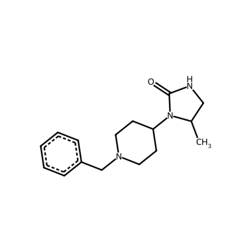 CC1CNC(=O)N1C1CCN(Cc2ccccc2)CC1